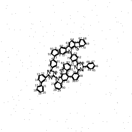 c1ccc(-c2ccc(-c3nc(-c4cccc(-c5ccccc5)c4)nc(-n4c5ccccc5c5cc(-c6cccc(-c7nc(-c8ccccc8)nc(-c8ccc(-n9c%10ccccc%10c%10ccc%11c%12ccccc%12sc%11c%109)cc8)n7)c6)c6c7ccccc7sc6c54)n3)cc2)cc1